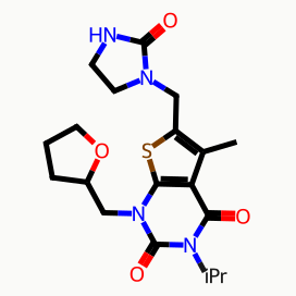 Cc1c(CN2CCNC2=O)sc2c1c(=O)n(C(C)C)c(=O)n2CC1CCCO1